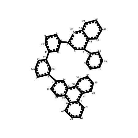 c1ccc(-c2cc(-c3cccc(-c4cccc(-c5ccc6c7ccccc7c7ccccc7c6c5)c4)c3)nc3ccccc23)cc1